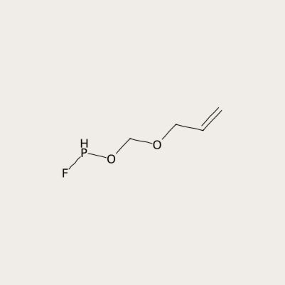 C=CCOCOPF